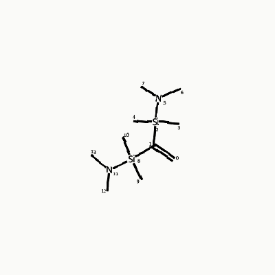 C=C([Si](C)(C)N(C)C)[Si](C)(C)N(C)C